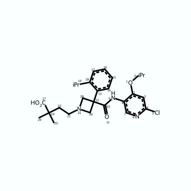 CC(C)Oc1cc(Cl)ncc1NC(=O)C1(c2ccccc2C(C)C)CN(CCC(C)(C)C(=O)O)C1